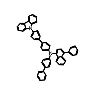 c1ccc(-c2ccc(N(c3ccc(-c4ccc(-n5c6ccccc6c6ccccc65)cc4)cc3)c3ccc(-c4ccccc4)c4ccccc34)cc2)cc1